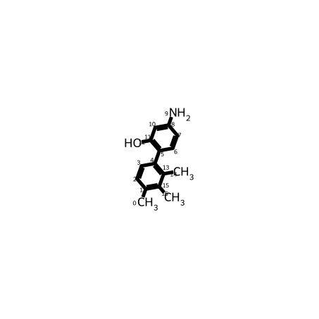 Cc1ccc(-c2ccc(N)cc2O)c(C)c1C